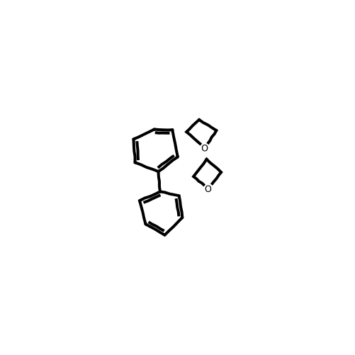 C1COC1.C1COC1.c1ccc(-c2ccccc2)cc1